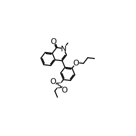 CCCOc1ccc(S(=O)(=O)CC)cc1-c1cn(C)c(=O)c2ccccc12